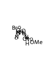 COc1cccc(-c2cn(C3CCN(C(=O)NC(Cc4cccc(Br)c4)C(=O)N4CCC(N5CCCCC5)CC4)CC3)c(=O)[nH]2)c1